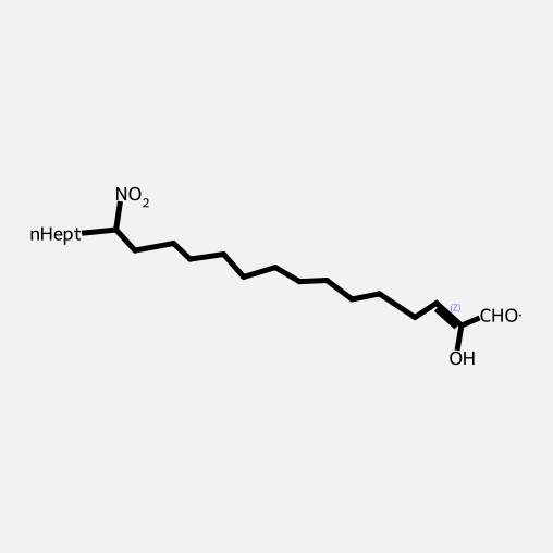 CCCCCCCC(CCCCCCCCCCC/C=C(\O)[C]=O)[N+](=O)[O-]